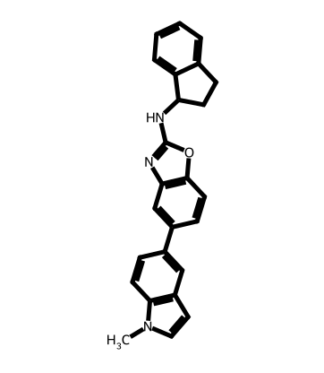 Cn1ccc2cc(-c3ccc4oc(NC5CCc6ccccc65)nc4c3)ccc21